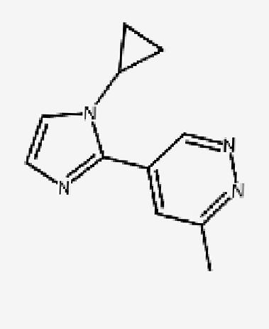 Cc1cc(-c2nccn2C2CC2)cnn1